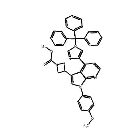 CC(C)(C)OC(=O)N1CC(c2nn(-c3ccc(OC(F)(F)F)cc3)c3nccc(-c4cn(C(c5ccccc5)(c5ccccc5)c5ccccc5)cn4)c23)C1